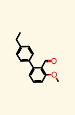 CCc1ccc(-c2cccc(OC)c2C=O)cc1